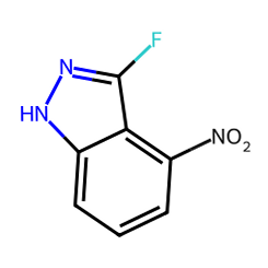 O=[N+]([O-])c1cccc2[nH]nc(F)c12